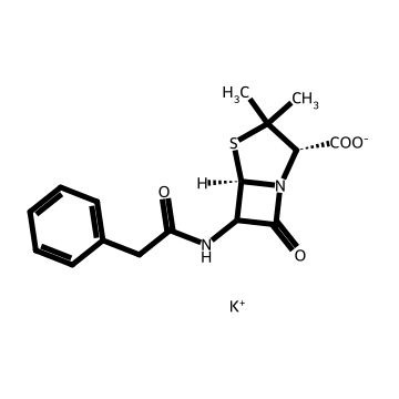 CC1(C)S[C@@H]2C(NC(=O)Cc3ccccc3)C(=O)N2[C@H]1C(=O)[O-].[K+]